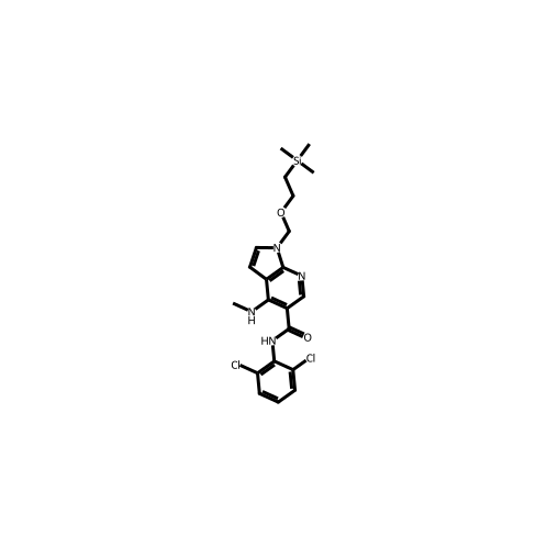 CNc1c(C(=O)Nc2c(Cl)cccc2Cl)cnc2c1ccn2COCC[Si](C)(C)C